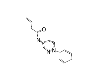 C=CCC(=O)N=c1ccn(C2C=CCC=C2)nc1